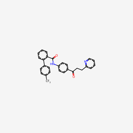 O=C(CCc1ccccn1)c1ccc(NC(=O)c2ccccc2-c2ccc(C(F)(F)F)cc2)cc1